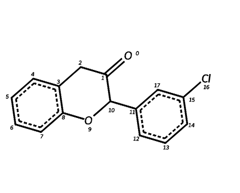 O=C1Cc2ccccc2OC1c1cccc(Cl)c1